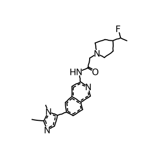 Cc1ncc(-c2ccc3cnc(NC(=O)CN4CCC(C(C)F)CC4)cc3c2)n1C